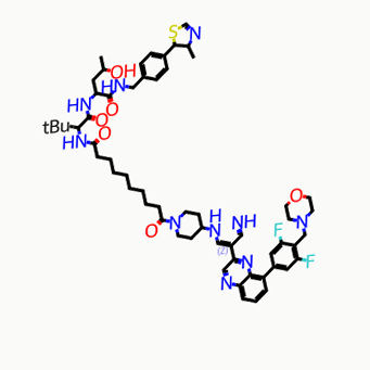 CC(O)CC(NC(=O)C(NC(=O)CCCCCCCCC(=O)N1CCC(N/C=C(\C=N)c2cnc3cccc(-c4cc(F)c(CN5CCOCC5)c(F)c4)c3n2)CC1)C(C)(C)C)C(=O)NCc1ccc(C2SC=NC2C)cc1